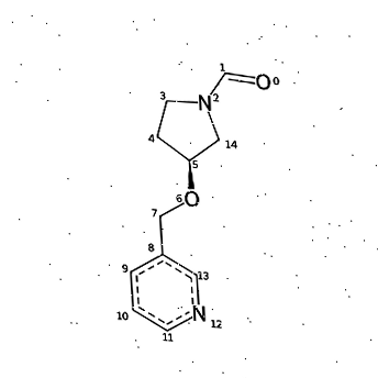 O=CN1CC[C@H](OCc2cccnc2)C1